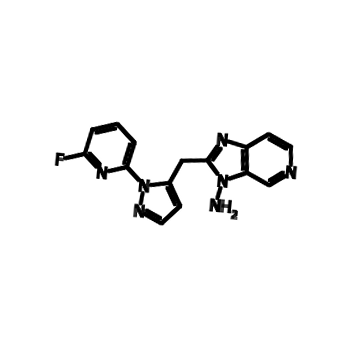 Nn1c(Cc2ccnn2-c2cccc(F)n2)nc2ccncc21